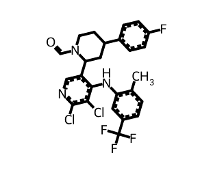 Cc1ccc(C(F)(F)F)cc1Nc1c(C2CC(c3ccc(F)cc3)CCN2C=O)cnc(Cl)c1Cl